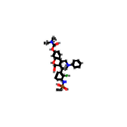 CNS(=O)(=O)Nc1cccc(Cc2c(CN(C)c3ccccc3)c3ccc(OC(=O)N(C)C)cc3oc2=O)c1F